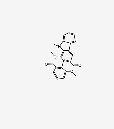 COc1cccc(C=O)c1-c1c(C=O)cc2c3ccccc3n(C)c2c1OC